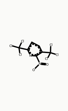 O=[N+]([O-])c1nc(C(Cl)(Cl)Cl)ccc1C(Cl)(Cl)Cl